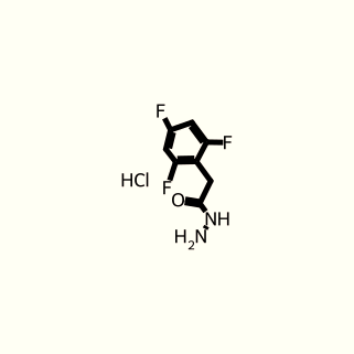 Cl.NNC(=O)Cc1c(F)cc(F)cc1F